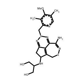 COc1c(C)cnc(CN2N=C3CC(NC(CO)CO)C4=C3C(=N2)C(N)=NSC4)c1C